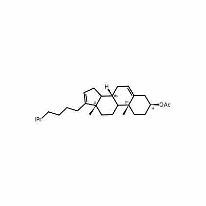 CC(=O)O[C@H]1CC[C@@]2(C)C(=CC[C@@H]3C2CC[C@]2(C)C(CCCCC(C)C)=CCC32)C1